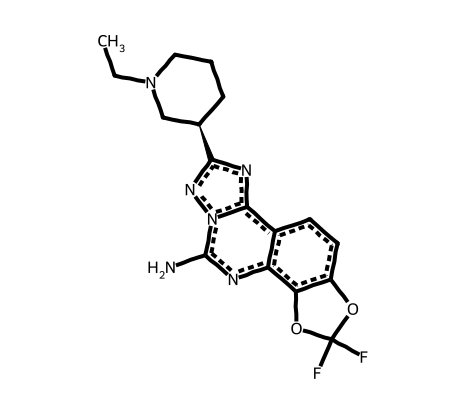 CCN1CCC[C@@H](c2nc3c4ccc5c(c4nc(N)n3n2)OC(F)(F)O5)C1